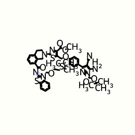 COC(=O)c1nc(N2CCc3cccc(C(=O)/N=c4/sc5ccccc5n4COCC[Si](C)(C)C)c3C2)sc1COc1ccc(-c2nn(C(=O)OC(C)(C)C)c(N)c2C#N)cc1